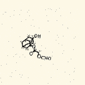 O=COCC(=O)OC12CC3CC(CC(O)(C3)C1)C2